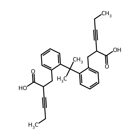 CCC#CC(Cc1ccccc1C(C)(C)c1ccccc1CC(C#CCC)C(=O)O)C(=O)O